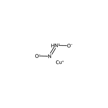 [Cu+].[O-]N=[NH+][O-]